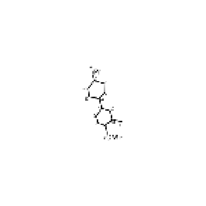 CCCC1CCC(C2CCC(OC)C(C)C2)CC1